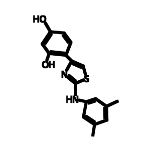 Cc1cc(C)cc(Nc2nc(-c3ccc(O)cc3O)cs2)c1